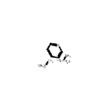 CC(=O)O.CCOC(C)=O.O.c1ccncc1